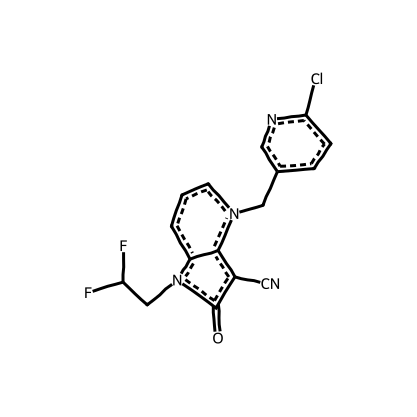 N#Cc1c2n(Cc3ccc(Cl)nc3)cccc-2n(CC(F)F)c1=O